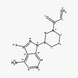 C=CC(=O)N1CCCC(n2nc(I)c3c(N)cncc32)C1